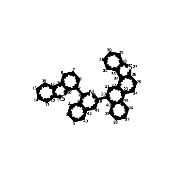 c1ccc2c(-c3cccc4c3sc3ccccc34)nc(-c3cc4c(ccc5sc6ccccc6c54)c4ccccc34)cc2c1